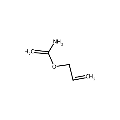 C=CCOC(=C)N